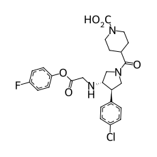 O=C(CN[C@@H]1CN(C(=O)C2CCN(C(=O)O)CC2)C[C@H]1c1ccc(Cl)cc1)Oc1ccc(F)cc1